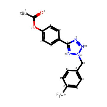 CC(C)(C)C(=O)Oc1ccc(-c2nnn(Cc3ccc(C(F)(F)F)cc3)n2)cc1